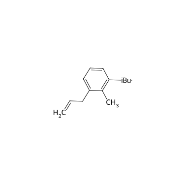 C=CCc1cccc([C](C)CC)c1C